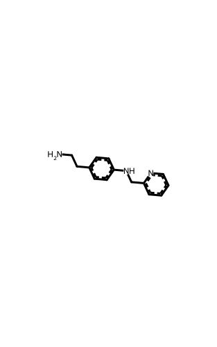 NCCc1ccc(NCc2ccccn2)cc1